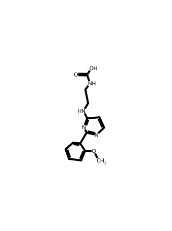 COc1ccccc1-c1nccc(NCCNC(=O)O)n1